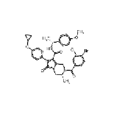 COc1ccc([C@@H](C)NC(=O)c2c3n(c(=O)n2-c2ccc(OC4CC4)cc2)C[C@@H](C)N(C(=O)c2ccc(Br)c(Cl)c2)C3)cc1